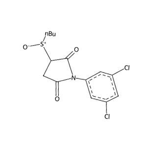 CCCC[S+]([O-])C1CC(=O)N(c2cc(Cl)cc(Cl)c2)C1=O